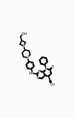 C#Cc1cc(=O)n(-c2ccccc2)c2nc(Nc3ccc(N4CCC(N5CC(CO)C5)CC4)cc3)ncc12